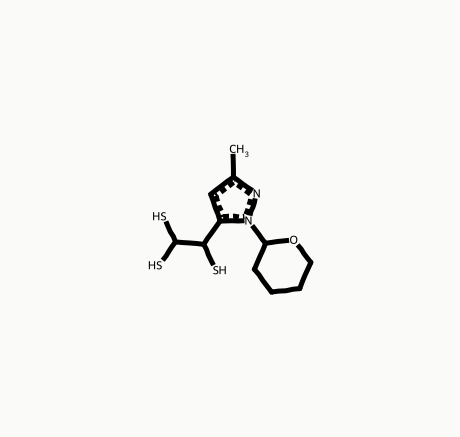 Cc1cc(C(S)C(S)S)n(C2CCCCO2)n1